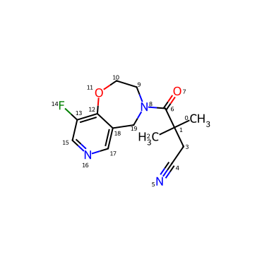 CC(C)(CC#N)C(=O)N1CCOc2c(F)cncc2C1